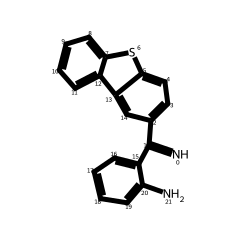 N=C(c1ccc2sc3ccccc3c2c1)c1ccccc1N